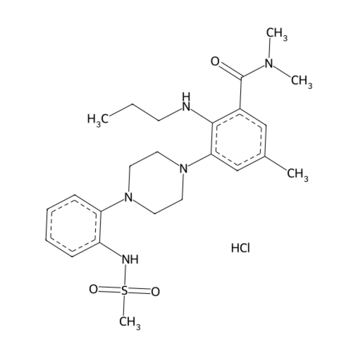 CCCNc1c(C(=O)N(C)C)cc(C)cc1N1CCN(c2ccccc2NS(C)(=O)=O)CC1.Cl